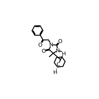 CN1C(=O)N(CC(=O)c2ccccc2)C(=O)C1(C)C1C[C@H]2CC[C@H]1CC2